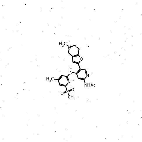 CC(=O)Nc1cc(Nc2cc(C)cc(S(C)(=O)=O)n2)c(-c2cc3c(o2)CCN(C)C3)cn1